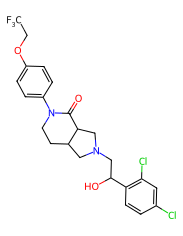 O=C1C2CN(CC(O)c3ccc(Cl)cc3Cl)CC2CCN1c1ccc(OCC(F)(F)F)cc1